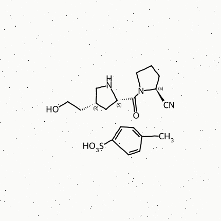 Cc1ccc(S(=O)(=O)O)cc1.N#C[C@@H]1CCCN1C(=O)[C@@H]1C[C@H](CCO)CN1